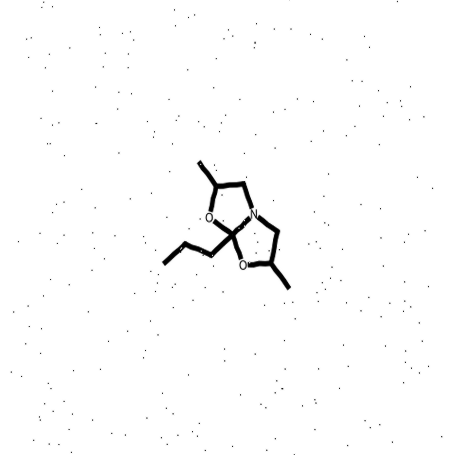 CCCC12OC(C)CN1CC(C)O2